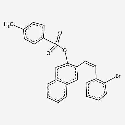 Cc1ccc(S(=O)(=O)Oc2cc3ccccc3cc2/C=C\c2ccccc2Br)cc1